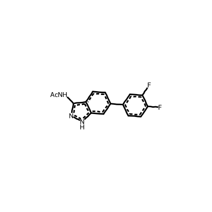 CC(=O)Nc1n[nH]c2cc(-c3ccc(F)c(F)c3)ccc12